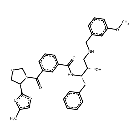 COc1cccc(CNC[C@H](O)[C@H](Cc2ccccc2)NC(=O)c2cccc(C(=O)N3COC[C@@H]3c3nc(C)cs3)c2)c1